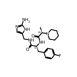 C[C@H](C(=O)N[C@@H](Cc1ccc(F)cc1)C(=O)NCc1cnc(N)[nH]1)N1CCCCC1